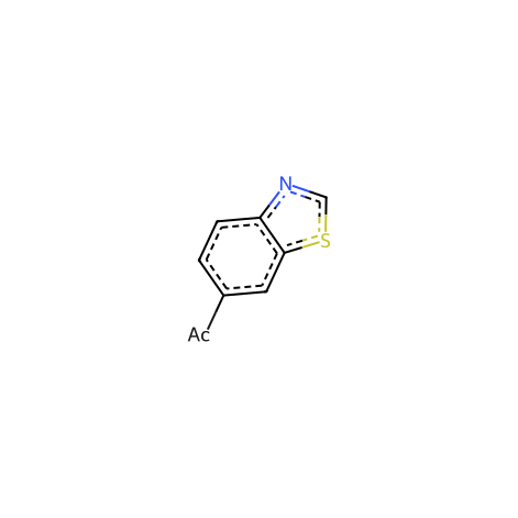 CC(=O)c1ccc2ncsc2c1